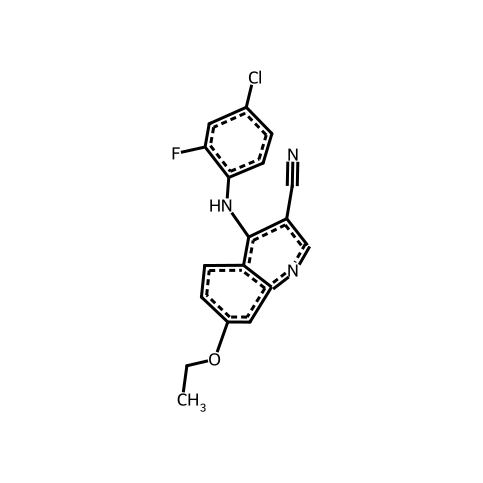 CCOc1ccc2c(Nc3ccc(Cl)cc3F)c(C#N)cnc2c1